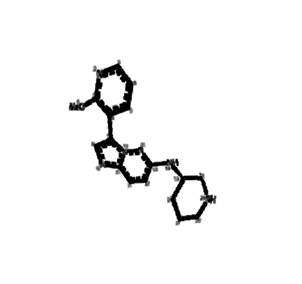 COc1ncccc1-c1cnc2ccc(N[C@@H]3CCCNC3)nn12